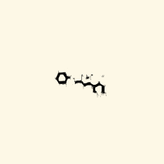 COc1cc(Cl)ncc1-c1cc(C(=O)Nc2c(F)cccc2F)nn1C